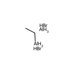 Br.Br.C[CH2][AlH2].[AlH3]